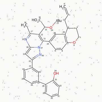 C=CCC1CCOc2ccc(-c3c(C(OC(C)(C)C)C(=O)O)c(C)nc4cc(-c5cccc(-c6ccccc6O)c5)nn34)cc21